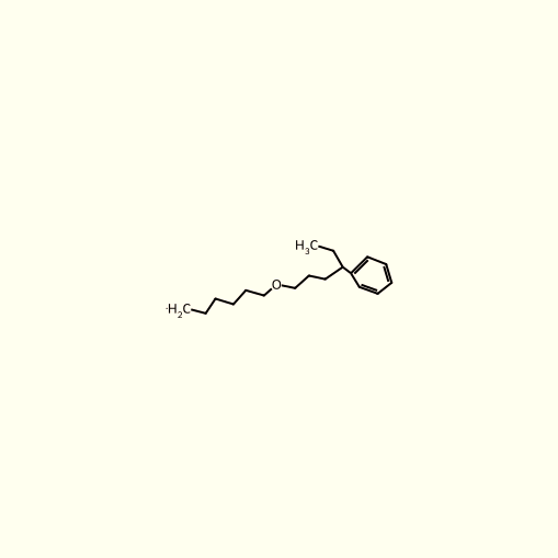 [CH2]CCCCCOCCCC(CC)c1ccccc1